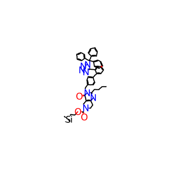 CCCCc1nc2c(c(=O)n1Cc1ccc(-c3ccccc3-c3nnnn3C(c3ccccc3)(c3ccccc3)c3ccccc3)cc1)CN(C(=O)OCC[Si](C)(C)C)CC2